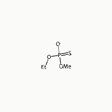 CCOP([O])(=S)OC